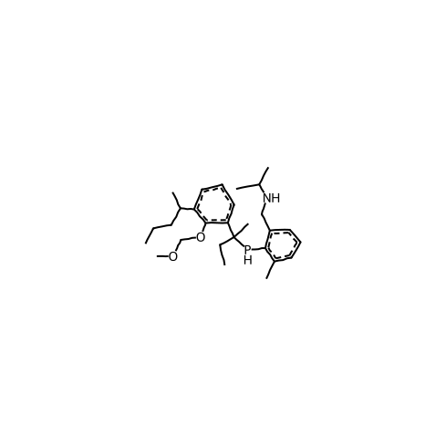 CCCC(C)c1cccc(C(C)(CC)Pc2c(C)cccc2CNC(C)C)c1OCOC